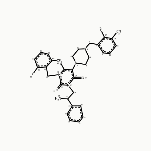 Cc1c(N2CCN(Cc3cccc(C#N)c3F)CC2)c(=O)n(CC(N)c2ccccc2)c(=O)n1Cc1c(F)cccc1C(F)(F)F